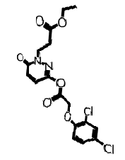 CCOC(=O)CCn1nc(OC(=O)COc2ccc(Cl)cc2Cl)ccc1=O